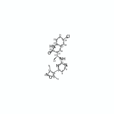 Cc1noc(C)c1-c1ccnc(N[C@@H](C)c2cc3cc(Cl)ccc3[nH]c2=O)n1